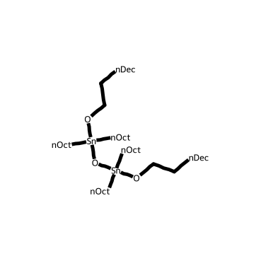 CCCCCCCCCCCC[O][Sn]([CH2]CCCCCCC)([CH2]CCCCCCC)[O][Sn]([CH2]CCCCCCC)([CH2]CCCCCCC)[O]CCCCCCCCCCCC